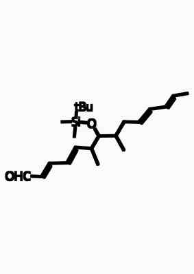 CC=CC=CCC(C)C(O[Si](C)(C)C(C)(C)C)C(C)C=CC=CC=O